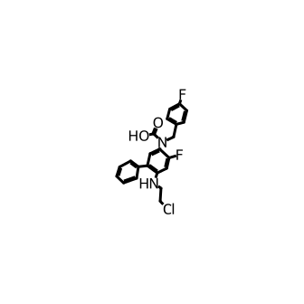 O=C(O)N(Cc1ccc(F)cc1)c1cc(-c2ccccc2)c(NCCCl)cc1F